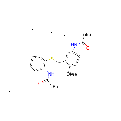 CCCCC(=O)Nc1ccc(OC)c(CSc2ccccc2NC(=O)C(C)(C)C)c1